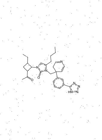 CCCCc1cn(C2C(CC)CC2C(C)=O)c(=O)n1CC1(c2cccc(-c3nnn[nH]3)c2)C=CN=CC1